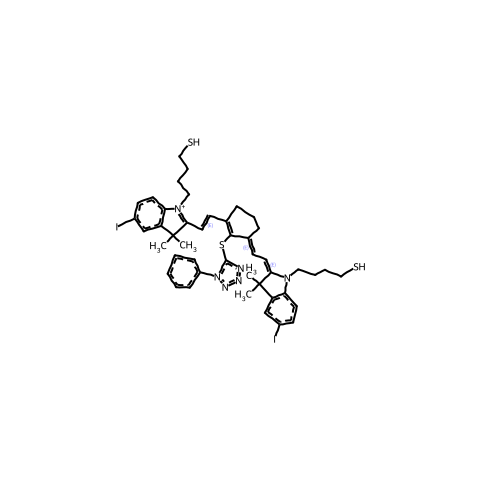 CC1(C)C(/C=C/C2=C(Sc3nnnn3-c3ccccc3)C(=C/C=C3/N(CCCCS)c4ccc(I)cc4C3(C)C)/CCC2)=[N+](CCCCS)c2ccc(I)cc21